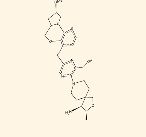 CO[C@H]1CC2COc3c(Sc4cnc(N5CCC6(CC5)CO[C@@H](C)[C@H]6N)c(CO)n4)ccnc3N2C1